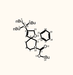 CCC[CH2][Sn]([CH2]CCC)([CH2]CCC)[C]1=CC2(CCCN(C(=O)OC(C)(C)C)[C@H]2c2ccccc2)OC1